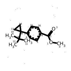 COC(=O)c1ccc(C2(C(C)(C)C)[CH]C2)cc1